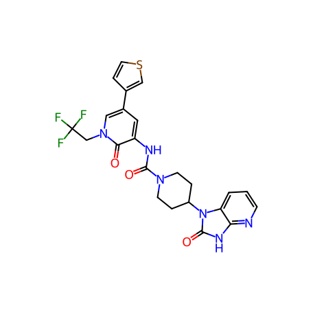 O=C(Nc1cc(-c2ccsc2)cn(CC(F)(F)F)c1=O)N1CCC(n2c(=O)[nH]c3ncccc32)CC1